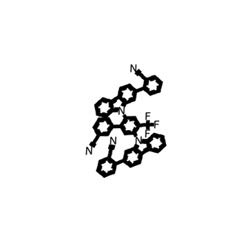 N#Cc1cccc(-c2cc(-n3c4ccccc4c4ccc(-c5ccccc5C#N)cc43)c(C(F)(F)F)cc2-n2c3ccccc3c3ccc(-c4ccccc4C#N)cc32)c1